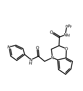 CCCNC(=O)C1CN(CC(=O)Nc2ccncc2)c2ccccc2O1